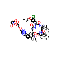 COc1ccc(C[C@H]2NC(=O)/C=C/C[C@@H]([C@H](C)C(I)C(C)c3ccc(Cn4cc(COCCC(=O)ON5C(=O)CCC5=O)nn4)cc3)OC(=O)[C@H](CC(C)(C)C)NC(=O)C(C)(C)[C@H](C)NC2=O)cc1Cl